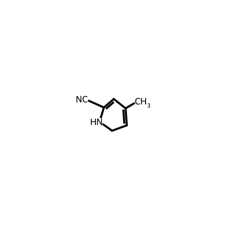 CC1=CCNC(C#N)=C1